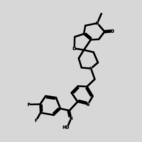 CN1CC2=C(CC1=O)C1(CCN(Cc3ccc(C(=NO)c4ccc(F)c(F)c4)nc3)CC1)OC2